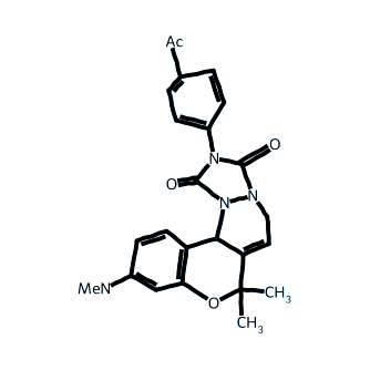 CNc1ccc2c(c1)OC(C)(C)C1=CCn3c(=O)n(-c4ccc(C(C)=O)cc4)c(=O)n3C12